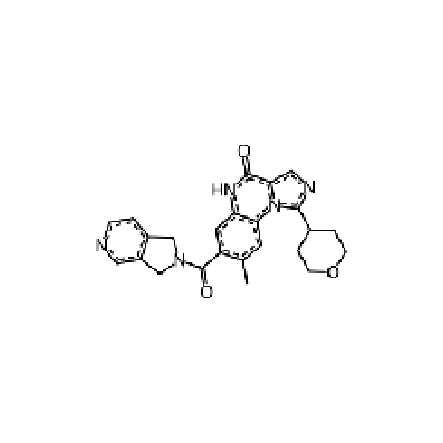 Cc1cc2c(cc1C(=O)N1Cc3ccncc3C1)[nH]c(=O)c1cnc(C3CCOCC3)n12